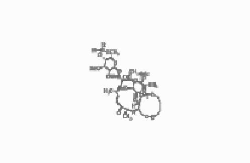 CC[Si](CC)(CC)O[C@@H]1C(C)O[C@@H](OC[C@H]2/C=C(C)/C=C/C(=O)[C@H](C)C[C@@H]3CCOCCCCO[C@H](CC(=O)O[C@@H]2I)[C@H](C)[C@H]3OC2OC(C)[C@@H](OC(C)=O)C(N(C)C)C2OC(C)=O)C(OC)C1OC